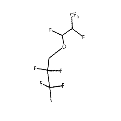 CC(F)(F)C(F)(F)COC(F)C(F)C(F)(F)F